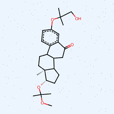 COC(C)(C)O[C@H]1CCC2C3CC(=O)c4cc(OC(C)(C)CO)ccc4C3CC[C@@]21C